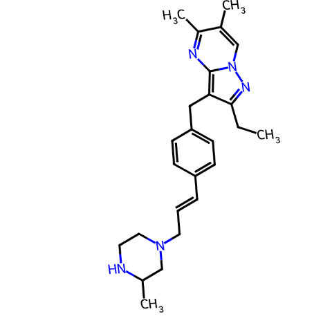 CCc1nn2cc(C)c(C)nc2c1Cc1ccc(C=CCN2CCNC(C)C2)cc1